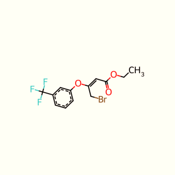 CCOC(=O)/C=C(\CBr)Oc1cccc(C(F)(F)F)c1